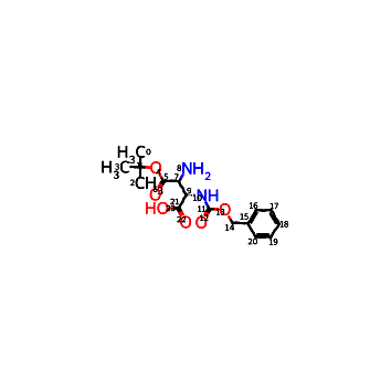 CC(C)(C)OC(=O)C(N)[C@H](NC(=O)OCc1ccccc1)C(=O)O